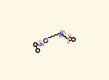 C[N+](C)(CCCCCCCN1CCC(OC(=O)Nc2ccccc2-c2ccccc2)CC1)CCCCN1C(=O)c2ccccc2C1=O